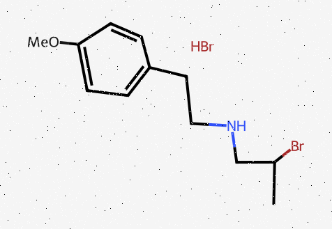 Br.COc1ccc(CCNCC(C)Br)cc1